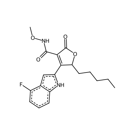 CCCCCC1OC(=O)C(C(=O)NOC)=C1c1cc2c(F)cccc2[nH]1